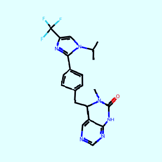 CC(C)n1cc(C(F)(F)F)nc1-c1ccc(CC2c3cncnc3NC(=O)N2C)cc1